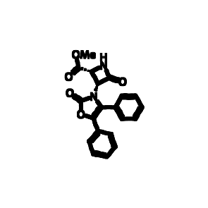 COC(=O)[C@@H]1NC(=O)[C@@H]1n1c(-c2ccccc2)c(-c2ccccc2)oc1=O